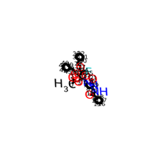 CC(=O)OC1C(n2ccc(NC(=O)c3ccccc3)nc2=O)OC(CF)(COCc2ccccc2)C1OCc1ccccc1